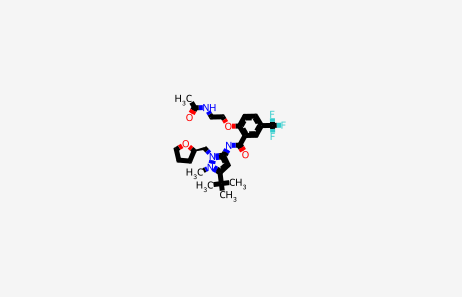 CC(=O)NCCOc1ccc(C(F)(F)F)cc1C(=O)/N=c1\cc(C(C)(C)C)n(C)n1C[C@H]1CCCO1